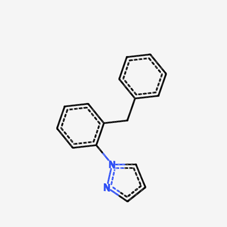 c1ccc(Cc2ccccc2-n2cccn2)cc1